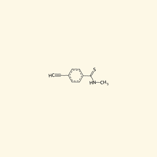 C#Cc1ccc(C(=S)NC)cc1